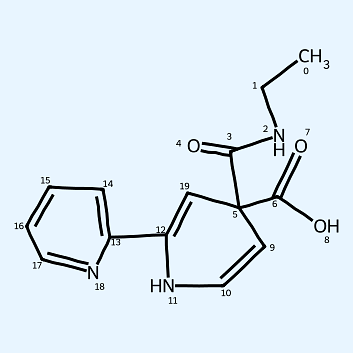 CCNC(=O)C1(C(=O)O)C=CNC(c2ccccn2)=C1